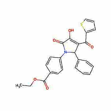 CCOC(=O)c1ccc(N2C(=O)C(O)=C(C(=O)c3cccs3)C2c2ccccc2)cc1